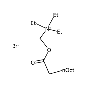 CCCCCCCCCC(=O)OC[N+](CC)(CC)CC.[Br-]